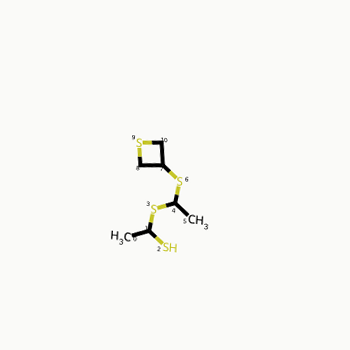 CC(S)SC(C)SC1CSC1